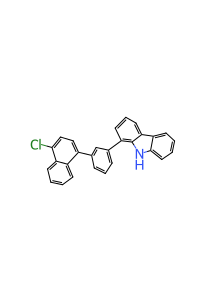 Clc1ccc(-c2cccc(-c3cccc4c3[nH]c3ccccc34)c2)c2ccccc12